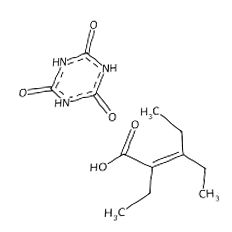 CCC(CC)=C(CC)C(=O)O.O=c1[nH]c(=O)[nH]c(=O)[nH]1